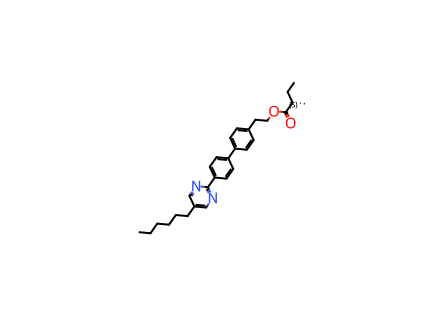 CCCCCCc1cnc(-c2ccc(-c3ccc(CCOC(=O)[C@@H](C)CC)cc3)cc2)nc1